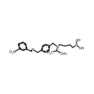 CCCN(CCC)CCCCN(Cc1ccc(CN=Cc2cccc([N+](=O)[O-])c2)cc1)C(C)OC(C)=O